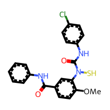 COc1ccc(C(=O)Nc2ccccc2)cc1N(S)C(=O)Nc1ccc(Cl)cc1